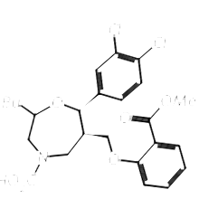 COC(=O)c1ccccc1OC[C@H]1CN(C(=O)O)CC(C(C)(C)C)O[C@H]1c1ccc(Cl)c(Cl)c1